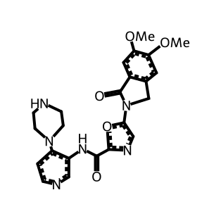 COc1cc2c(cc1OC)C(=O)N(c1cnc(C(=O)Nc3cnccc3N3CCNCC3)o1)C2